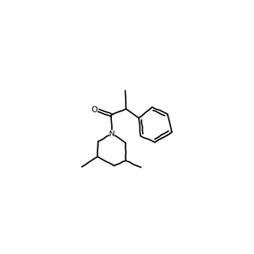 CC1CC(C)CN(C(=O)C(C)c2ccccc2)C1